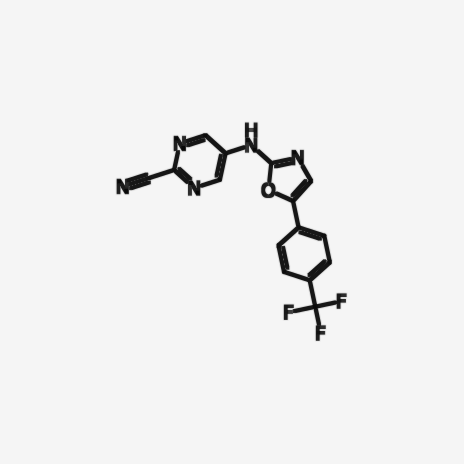 N#Cc1ncc(Nc2ncc(-c3ccc(C(F)(F)F)cc3)o2)cn1